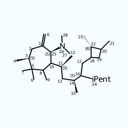 C=C1C[C@H](C)C(C)(C)C(C)C([C@@H](C)C[C@H](C)C(CC2CC(C)[C@H]2C)C(C)CCC)[C@@H]1N(C)C